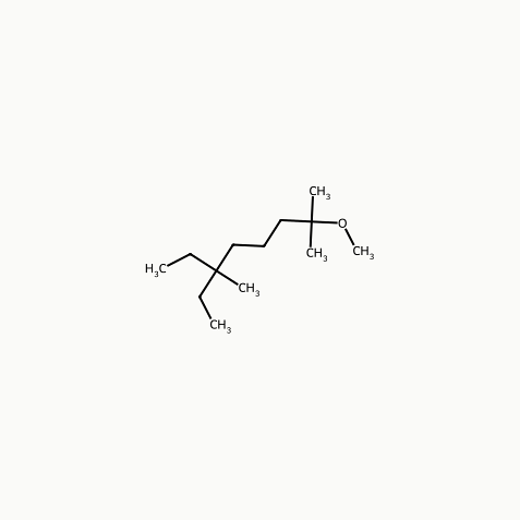 CCC(C)(CC)CCCC(C)(C)OC